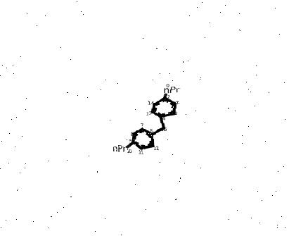 CCCc1ccc([C]c2ccc(CCC)cc2)cc1